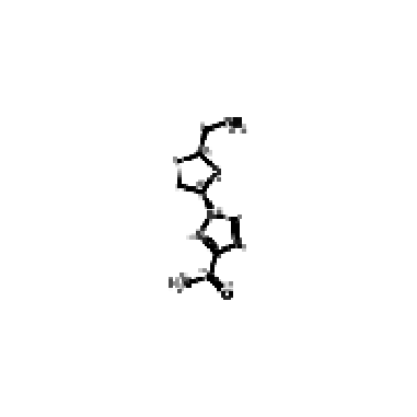 NC[C@@H]1CC[C@H](n2cnc(C(N)=O)n2)O1